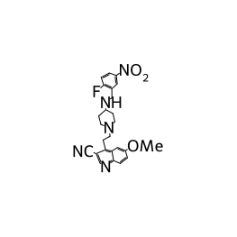 COc1ccc2ncc(C#N)c(CCN3CCC(NCc4cc([N+](=O)[O-])ccc4F)CC3)c2c1